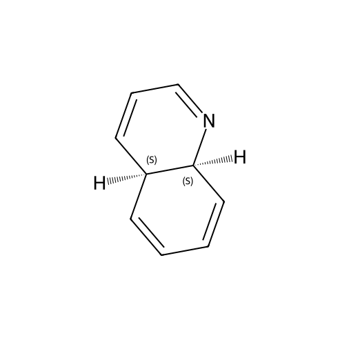 C1=C[C@H]2C=CC=N[C@H]2C=C1